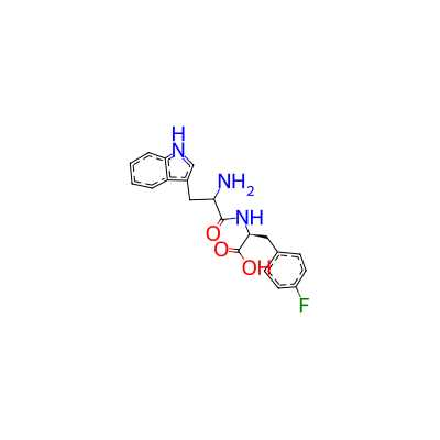 NC(Cc1c[nH]c2ccccc12)C(=O)N[C@@H](Cc1ccc(F)cc1)C(=O)O